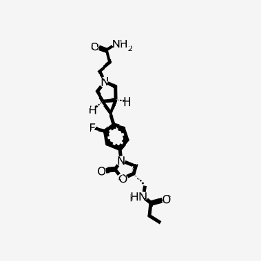 CCC(=O)NC[C@H]1CN(c2ccc(C3[C@H]4CN(CCC(N)=O)C[C@@H]34)c(F)c2)C(=O)O1